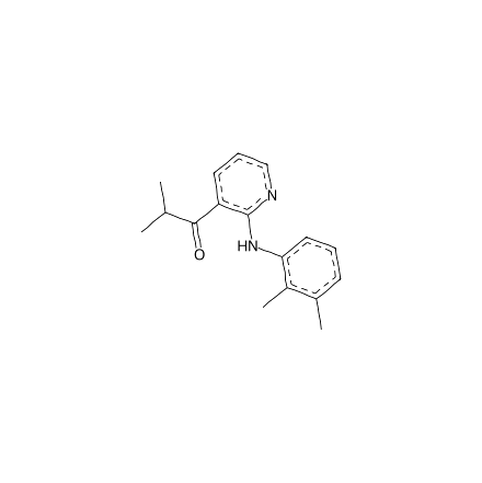 Cc1cccc(Nc2ncccc2C(=O)C(C)C)c1C